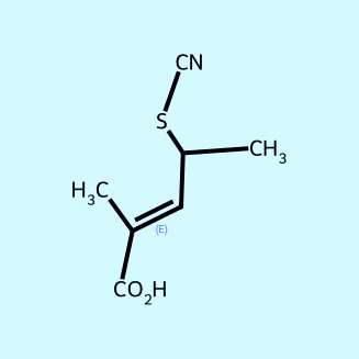 C/C(=C\C(C)SC#N)C(=O)O